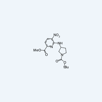 COC(=O)c1ccc([N+](=O)[O-])c(NC2CCN(C(=O)OC(C)(C)C)C2)n1